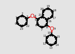 c1ccc(Oc2ccc(Oc3ccccc3)c3ccccc23)cc1